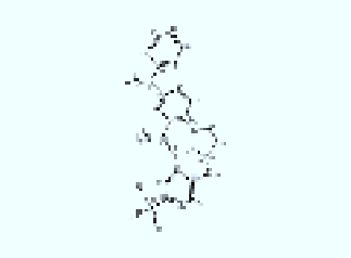 NC(=O)c1cc(C(O)c2ccccc2)ccc1N1CC[C@H](Oc2ccc(C(F)(F)F)cn2)C1